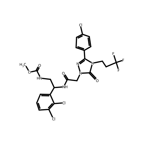 COC(=O)NCC(NC(=O)Cn1nc(-c2ccc(Cl)cc2)n(CCC(F)(F)F)c1=O)c1cccc(Cl)c1Cl